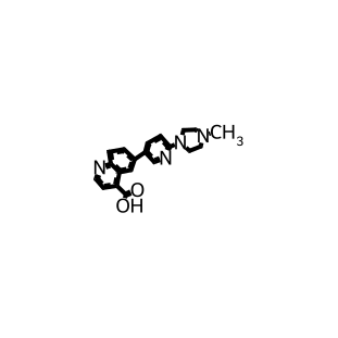 CN1CCN(c2ccc(-c3ccc4nccc(C(=O)O)c4c3)cn2)CC1